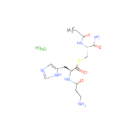 CC(=O)N[C@@H](CSC(=O)[C@H](Cc1cnc[nH]1)NC(=O)CCN)C(N)=O.Cl.Cl